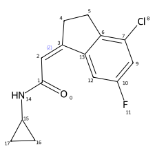 O=C(/C=C1/CCc2c(Cl)cc(F)cc21)NC1CC1